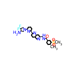 Cc1ccc(C(=O)NCc2cc3nc(-c4cccc(N5CC(N)C(F)(F)C5)n4)ccc3cn2)cc1S(C)(=O)=O